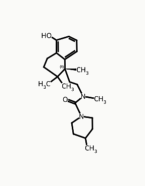 CC1CCN(C(=O)N(C)CC[C@@]2(C)c3cccc(O)c3CCC2(C)C)CC1